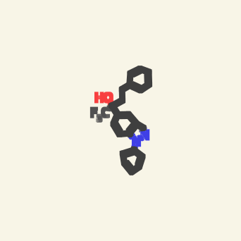 OC(CCc1ccccc1)(c1ccc2c(cnn2-c2ccccc2)c1)C(F)(F)F